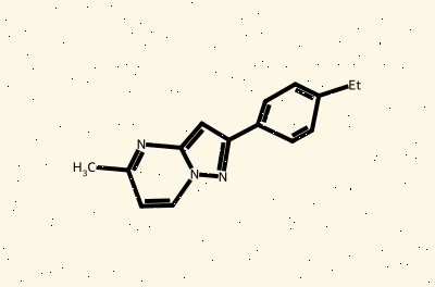 CCc1ccc(-c2cc3nc(C)ccn3n2)cc1